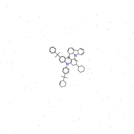 CC(C)(c1ccccc1)c1ccc2c(c1)B1C3=C(CC(C4CCCCC4)C=C3N3C4C=CC=CC4C4=CC=CC1C43)N2c1ccc(C(C)(C)C2C=CCCC2)cc1